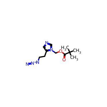 CC(C)(C)C(=O)OCn1cncc1CCN=[N+]=[N-]